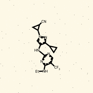 CCNc1nc(Nc2cn(C3CC3C#N)nc2C2CC2)ncc1C(F)(F)F